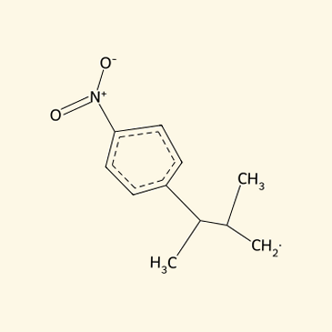 [CH2]C(C)C(C)c1ccc([N+](=O)[O-])cc1